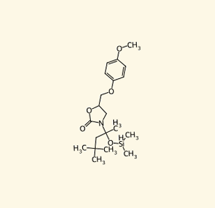 COc1ccc(OCC2CN(C(C)(CC(C)(C)C)O[SiH](C)C)C(=O)O2)cc1